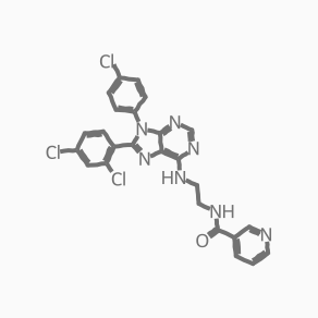 O=C(NCCNc1ncnc2c1nc(-c1ccc(Cl)cc1Cl)n2-c1ccc(Cl)cc1)c1cccnc1